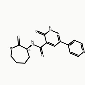 O=C(N[C@H]1CCCCNC1=O)c1cc(-c2ccncc2)n[nH]c1=O